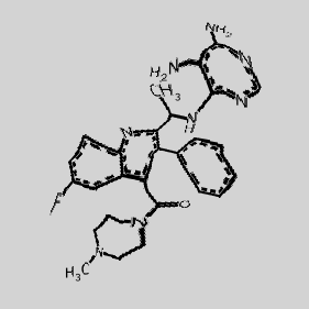 CC(Nc1ncnc(N)c1N)c1nc2ccc(F)cc2c(C(=O)N2CCN(C)CC2)c1-c1ccccc1